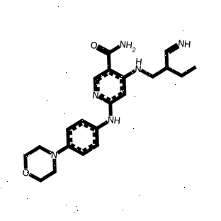 CCC(C=N)CNc1cc(Nc2ccc(N3CCOCC3)cc2)ncc1C(N)=O